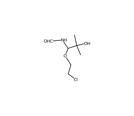 CC(C)(O)C(NC=O)OCCCl